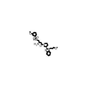 COCCCn1c([C@@H]2CCCN(C(=O)C[C@H](N)CNS(=O)(=O)c3cccc(OC)c3)C2)nc2ccccc21